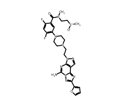 CN(CC[S@@+](C)[O-])C(=O)c1cc(N2CCN(CCn3ncc4c3nc(N)n3nc(-c5ccco5)nc43)CC2)c(F)cc1F